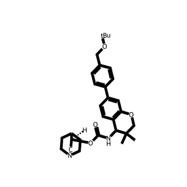 CC(C)(C)OCc1ccc(-c2ccc3c(c2)OCC(C)(C)C3NC(=O)O[C@H]2CN3CCC2CC3)cc1